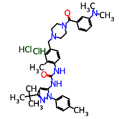 Cc1ccc(-n2nc(C(C)(C)C)cc2NC(=O)Nc2ccc(CN3CCN(C(=O)c4cccc(N(C)C)c4)CC3)cc2C)cc1.Cl.Cl